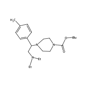 CCN(CC)CC(c1ccc(C)cc1)N1CCN(C(=O)OC(C)(C)C)CC1